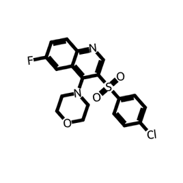 O=S(=O)(c1ccc(Cl)cc1)c1cnc2ccc(F)cc2c1N1CCOCC1